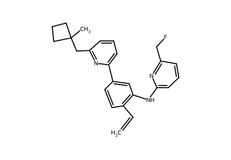 C=Cc1ccc(-c2cccc(CC3(C)CCC3)n2)cc1Nc1cccc(CF)n1